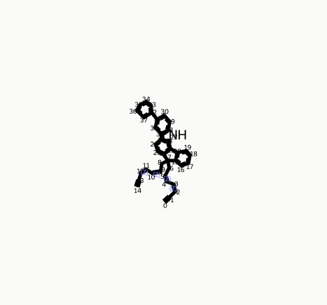 C#C/C=C\C=C/CC1(C/C=C\C=C/C#C)c2ccccc2-c2c1ccc1c2[nH]c2ccc(-c3ccccc3)cc21